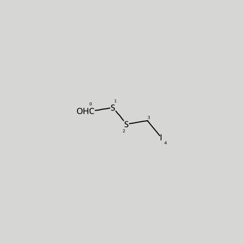 O=CSSCI